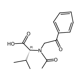 CC(=O)N(CC(=O)c1ccccc1)[C@@H](C(=O)O)C(C)C